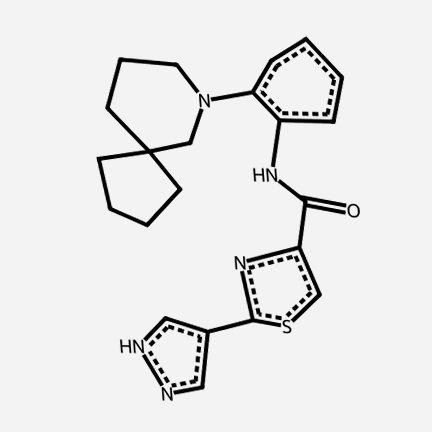 O=C(Nc1ccccc1N1CCCC2(CCCC2)C1)c1csc(-c2cn[nH]c2)n1